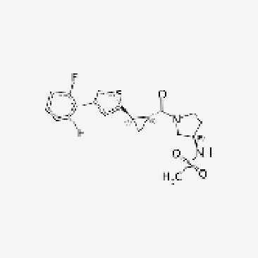 CS(=O)(=O)N[C@@H]1CCN(C(=O)[C@@H]2C[C@H]2c2cc(-c3c(F)cccc3F)cs2)C1